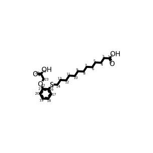 O=C(O)CCCCCCCCCCCCSc1ccccc1OCC(=O)O